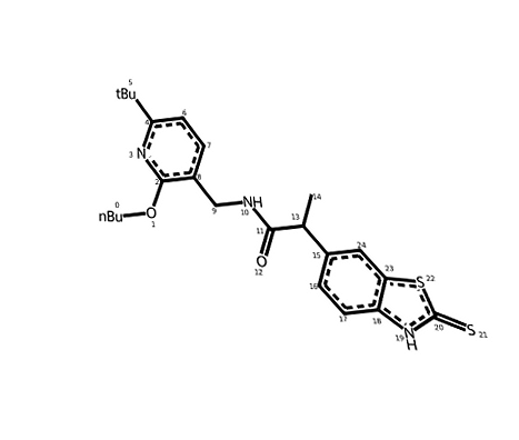 CCCCOc1nc(C(C)(C)C)ccc1CNC(=O)C(C)c1ccc2[nH]c(=S)sc2c1